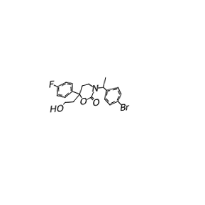 CC(c1ccc(Br)cc1)N1CCC(CCO)(c2ccc(F)cc2)OC1=O